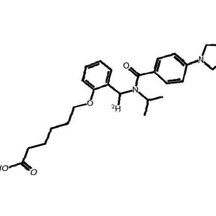 [2H]C(c1ccccc1OCCCCCC(=O)O)N(C(=O)c1ccc(N2CCCC2)cc1)C(C)C